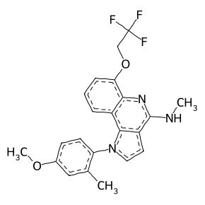 CNc1nc2c(OCC(F)(F)F)cccc2c2c1ccn2-c1ccc(OC)cc1C